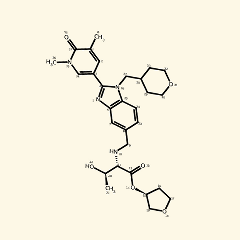 Cc1cc(-c2nc3cc(CN[C@H](C(=O)O[C@H]4CCOC4)[C@@H](C)O)ccc3n2CC2CCOCC2)cn(C)c1=O